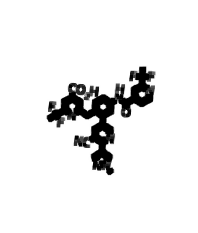 Cn1cc(-c2ncc(-c3cc(NC(=O)c4ccnc(C(C)(F)F)c4)ccc3Cc3cc(C(=O)O)cc(C(C)(F)F)n3)cc2C#N)cn1